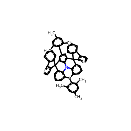 Cc1cc(C)c(B2c3cccc4c3N3c5c2cccc5C2(c5ccccc5-c5ccccc52)c2cc(-c5c(C)cc(C)cc5C)cc(c23)C42c3ccccc3-c3ccccc32)c(C)c1